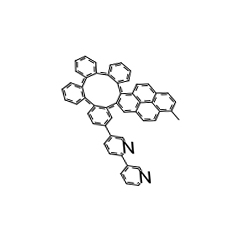 Cc1ccc2ccc3c4c5ccccc5c5ccccc5c5ccccc5c5ccc(-c6ccc(-c7cccnc7)nc6)cc5c4cc4ccc1c2c43